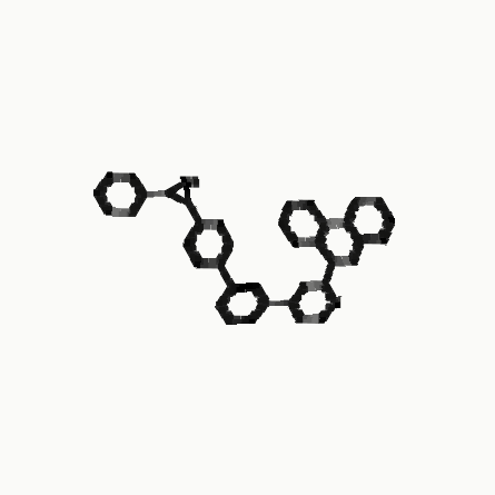 c1ccc(C2NC2c2ccc(-c3cccc(-c4ccnc(-c5cc6ccccc6c6ccccc56)c4)c3)cc2)cc1